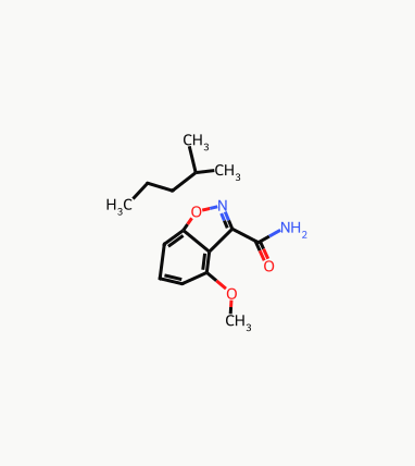 CCCC(C)C.COc1cccc2onc(C(N)=O)c12